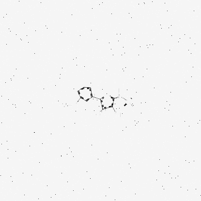 CCS(=O)(=O)Nc1oc(-c2cccc(OC)c2)c(O)c1O